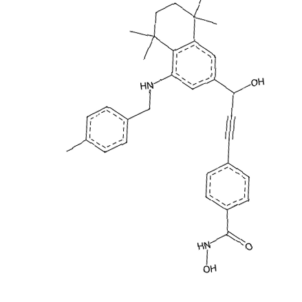 Cc1ccc(CNc2cc(C(O)C#Cc3ccc(C(=O)NO)cc3)cc3c2C(C)(C)CCC3(C)C)cc1